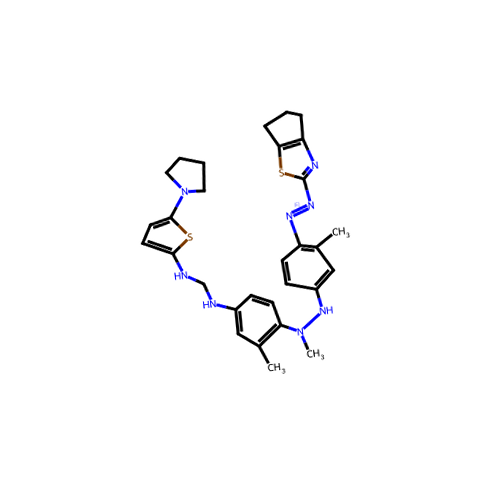 Cc1cc(NN(C)c2ccc(NCNc3ccc(N4CCCC4)s3)cc2C)ccc1/N=N/c1nc2c(s1)CCC2